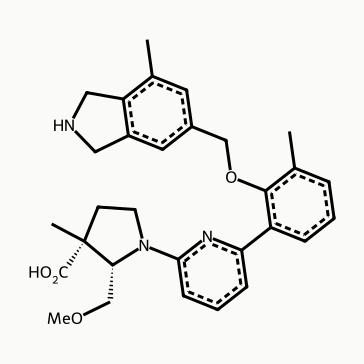 COC[C@H]1N(c2cccc(-c3cccc(C)c3OCc3cc(C)c4c(c3)CNC4)n2)CC[C@@]1(C)C(=O)O